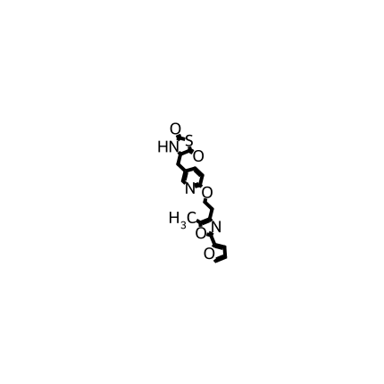 Cc1oc(-c2ccco2)nc1CCOc1ccc(CC2NC(=O)SC2=O)cn1